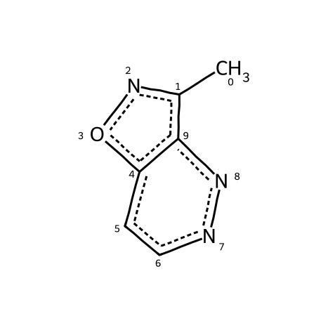 Cc1noc2ccnnc12